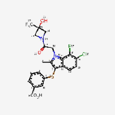 Cc1c(Sc2cccc(C(=O)O)c2)c2ccc(Cl)c(F)c2n1CC(=O)N1CC(O)(C(F)(F)F)C1